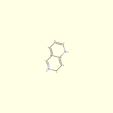 C1=C[N]C2=CCN=CC2=C1